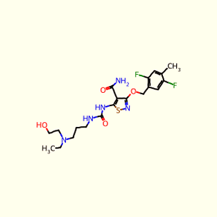 CCN(CCO)CCCNC(=O)Nc1snc(OCc2cc(F)c(C)cc2F)c1C(N)=O